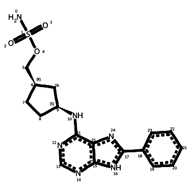 NS(=O)(=O)OC[C@@H]1CC[C@H](Nc2ncnc3[nH]c(-c4ccccc4)nc23)C1